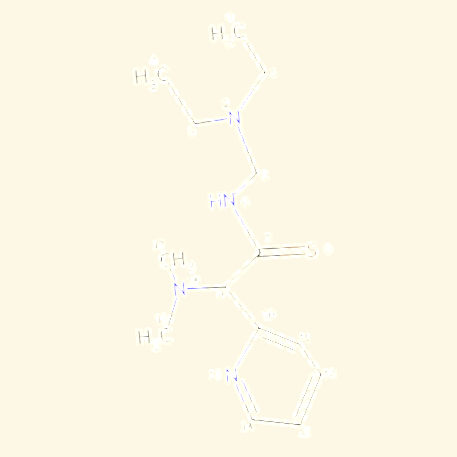 CCN(CC)CNC(=S)C(c1ccccn1)N(C)C